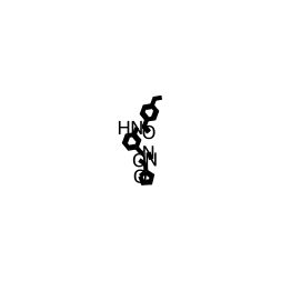 CCc1ccc(C(=O)Nc2cccc(-c3nnc(-c4ccco4)o3)c2)cc1